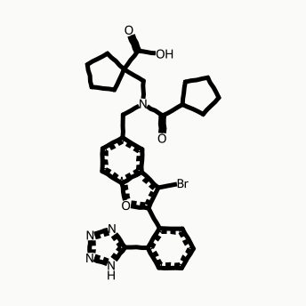 O=C(C1CCCC1)N(Cc1ccc2oc(-c3ccccc3-c3nnn[nH]3)c(Br)c2c1)CC1(C(=O)O)CCCC1